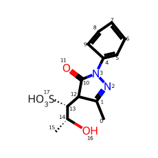 CC1=NN(c2ccccc2)C(=O)C1[C@H]([C@@H](C)O)S(=O)(=O)O